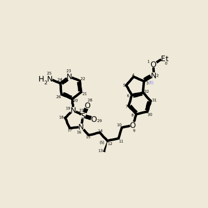 CCO/N=C1\CCc2cc(OCC[C@@H](C)CCN3CCN(c4ccnc(N)c4)S3(=O)=O)ccc21